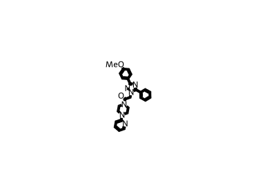 COc1ccc(-c2nc(-c3ccccc3)n(CC(=O)N3CCN(c4ccccn4)CC3)n2)cc1